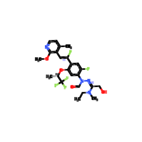 CCN(C)/C(CO)=N\N(C=O)c1cc(O[C@@H](C)C(F)(F)F)c(/C(F)=C/c2c(C)ccnc2OC)cc1F